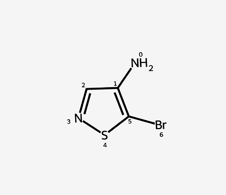 Nc1cnsc1Br